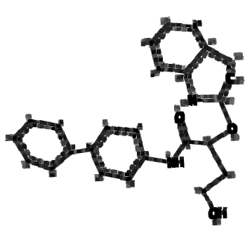 O=C(Nc1ccc(-c2ccccc2)cc1)C(CCO)Oc1ccc2ccccc2n1